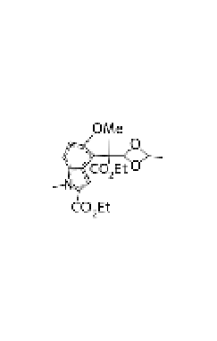 CCOC(=O)c1cc2c(C(C)(C(=O)OCC)C3OC(C)O3)c(OC)ccc2n1C